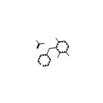 CC(=O)N[C@@H](c1ccncc1)c1c(O)ccc(Cl)c1Cl